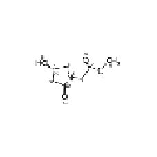 COC(=O)CN1C[C@H](O)CC1=O